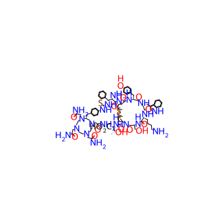 C[C@@H](O)[C@H](NC(=O)[C@@H]1CSSC[C@H](NC(=O)[C@H](N)C(NC(=S)Nc2ccc(C[C@H]3CN(CC(N)=O)CCN(CC(N)=O)CCN(CC(N)=O)CCN3CC(N)=O)cc2)c2ccccc2)C(=O)N[C@@H](Cc2ccc(O)cc2)C(=O)N[C@H](Cc2c[nH]c3ccccc23)C(=O)N[C@@H](CCCCN)C(=O)N[C@@H]([C@@H](C)O)C(=O)N1)C(=O)O